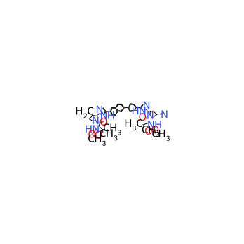 C=C1CCN(C(=O)[C@@H](NC(=O)OC)C(C)C)[C@@H]1c1ncc(-c2ccc3cc(-c4ccc(-c5cnc([C@@H]6C[C@@H](C#N)CN6C(=O)[C@@H](NC(=O)OC)C(C)C)[nH]5)cc4)ccc3c2)[nH]1